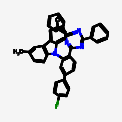 Cc1ccc2c(c1)c1cc(C)ccc1n2-c1cc(-c2ccc(F)cc2)ccc1-c1nc(-c2ccccc2)nc(-c2ccccc2)n1